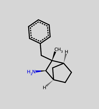 C[C@@]1(Cc2ccccc2)[C@H]2CC[C@H](C2)[C@H]1N